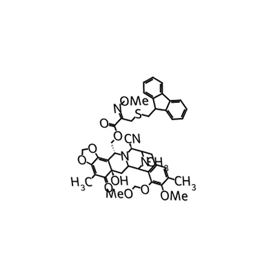 COCOc1c(OC)c(C)cc2c1C1C3C[C@]4(O)C(=O)C(C)=C5OCOC5=C4[C@H](COC(=O)/C(CSCC4c5ccccc5-c5ccccc54)=N/OC)N3[C@@H](C#N)C(C2)N1C